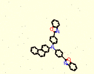 c1ccc2c(c1)ccc1cc(N(c3ccc(-c4nc5ccccc5o4)cc3)c3ccc(-c4nc5ccccc5o4)cc3)ccc12